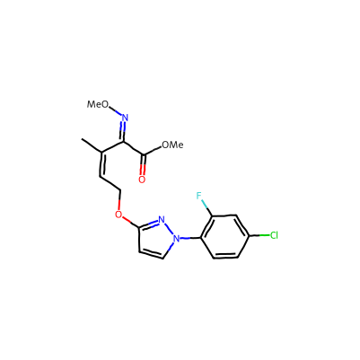 CO/N=C(C(=O)OC)\C(C)=C/COc1ccn(-c2ccc(Cl)cc2F)n1